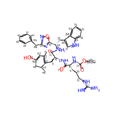 CC1=C(C[C@H](NC(=O)[C@@H](CCCNC(=N)N)NC(=O)OC(C)(C)C)C(=O)N[C@@H](Cc2c[nH]c3ccccc23)c2nc(Cc3ccccc3)no2)C(C)CC(O)=C1